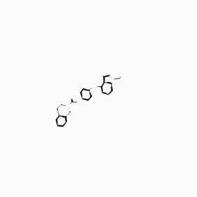 O=C(O)Cn1ccc2c(Oc3ccc(NC(=O)N4CCc5ccccc5C4)cc3)cccc21